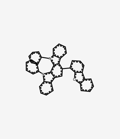 c1ccc(-n2c3ccccc3c3cc(-c4cccc5c4oc4ccccc45)c4c5ccccc5n(-c5ccccc5)c4c32)cc1